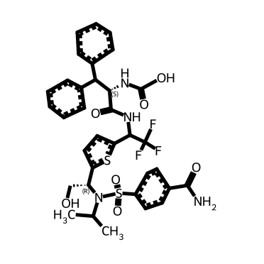 CC(C)N([C@H](CO)c1ccc(C(NC(=O)[C@@H](NC(=O)O)C(c2ccccc2)c2ccccc2)C(F)(F)F)s1)S(=O)(=O)c1ccc(C(N)=O)cc1